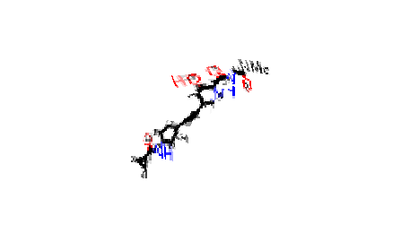 CNC(=O)CNC(=O)c1ncc(C#Cc2ccc(NC(=O)C3CC3)cc2)cc1O